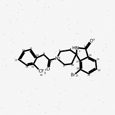 O=C1NC2(CCN(C(=O)Cc3ccccc3C(F)(F)F)CC2)c2c(Br)cccc21